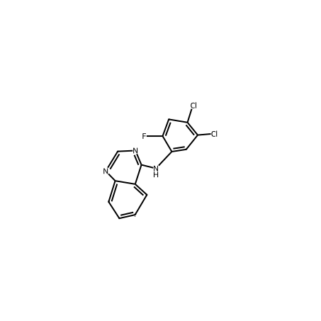 Fc1cc(Cl)c(Cl)cc1Nc1ncnc2cc[c]cc12